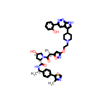 Cc1ncsc1-c1ccc([C@H](C)NC(=O)[C@@H]2C[C@@H](O)CN2C(=O)[C@@H](c2cc(OCCN3CCC(c4c[nH]c5nnc(-c6ccccc6O)cc45)CC3)no2)C(C)C)cc1